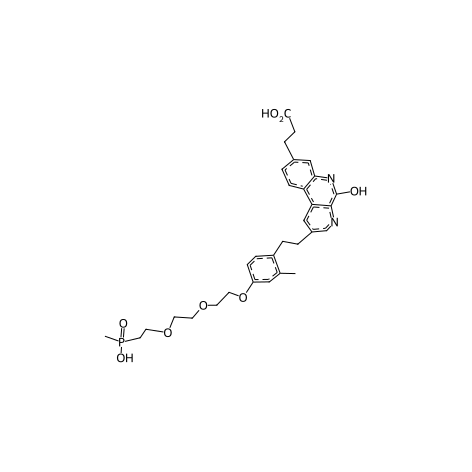 Cc1cc(OCCOCCOCCP(C)(=O)O)ccc1CCc1cnc2c(O)nc3cc(CCC(=O)O)ccc3c2c1